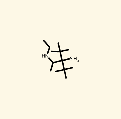 CCNC(C)C([SiH3])(C(C)(C)C)C(C)(C)C